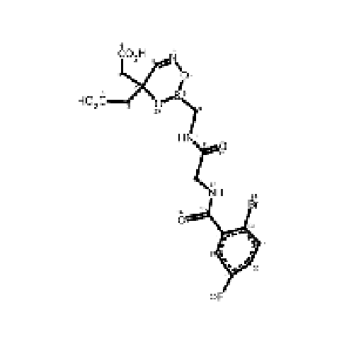 O=C(O)CC1(CC(=O)O)C=NOB(CNC(=O)CNC(=O)c2cc(F)ccc2Br)O1